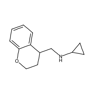 c1ccc2c(c1)OCCC2CNC1CC1